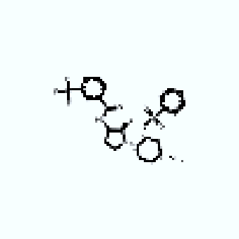 N[C@@H]1CC[C@H](N2CCC(NC(=O)c3cccc(C(F)(F)F)c3)C2=O)[C@H](CS(=O)(=O)c2ccccc2)C1